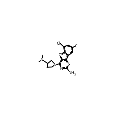 CN(C)C1CCN(c2nc(N)nc3c2oc2c(Cl)cc(Cl)cc23)C1